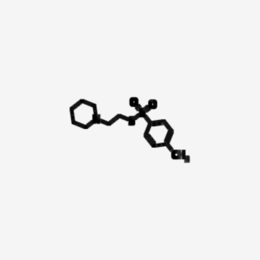 Cc1ccc(S(=O)(=O)SCCN2CCCCC2)cc1